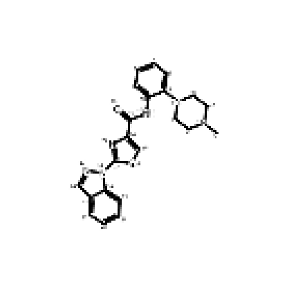 CN1CCN(c2ccccc2NC(=O)c2csc(-n3ncc4ccccc43)n2)CC1